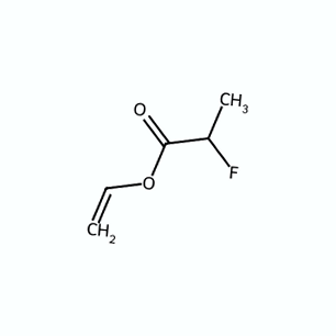 C=COC(=O)C(C)F